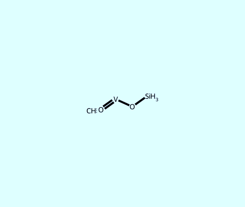 [CH].[O]=[V][O][SiH3]